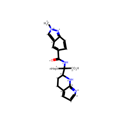 CCCCCCCC(NC(=O)c1ccc2nn(C)cc2c1)(C(=O)O)C1CCc2cccnc2N1